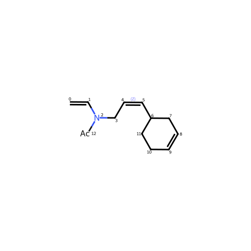 C=CN(C/C=C\C1CC=CCC1)C(C)=O